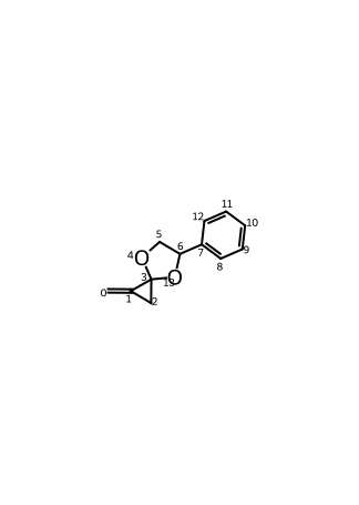 C=C1CC12OCC(c1ccccc1)O2